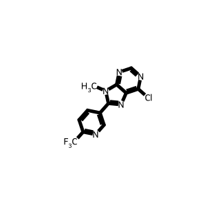 Cn1c(-c2ccc(C(F)(F)F)nc2)nc2c(Cl)ncnc21